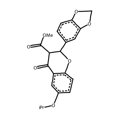 COC(=O)C1C(=O)c2cc(OC(C)C)ccc2OC1c1ccc2c(c1)OCO2